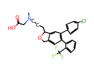 CN(CCCC1OCc2cc(-c3ccccc3C(F)(F)F)c(-c3ccc(Cl)cc3)cc21)CC(=O)O